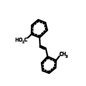 Cc1ccccc1C=Cc1ccccc1C(=O)O